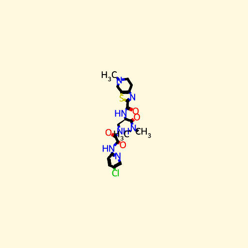 CN1CCc2nc(C(=O)N[C@H](CNC(=O)C(=O)Nc3ccc(Cl)cn3)C(=O)N(C)C)sc2C1